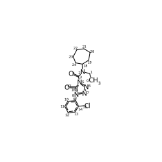 CCN(C(=O)n1nnn(-c2ccccc2Cl)c1=O)C1CCCCCC1